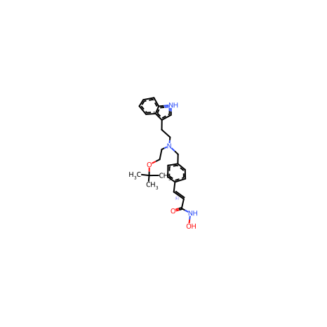 CC(C)(C)OCCN(CCc1c[nH]c2ccccc12)Cc1ccc(/C=C/C(=O)NO)cc1